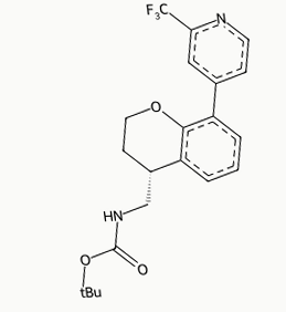 CC(C)(C)OC(=O)NC[C@@H]1CCOc2c(-c3ccnc(C(F)(F)F)c3)cccc21